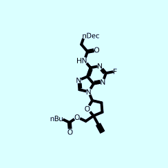 C#CC1(COC(=O)CCCC)CCC(n2cnc3c(NC(=O)CCCCCCCCCCC)nc(F)nc32)O1